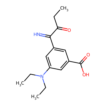 CCC(=O)C(=N)c1cc(C(=O)O)cc(N(CC)CC)c1